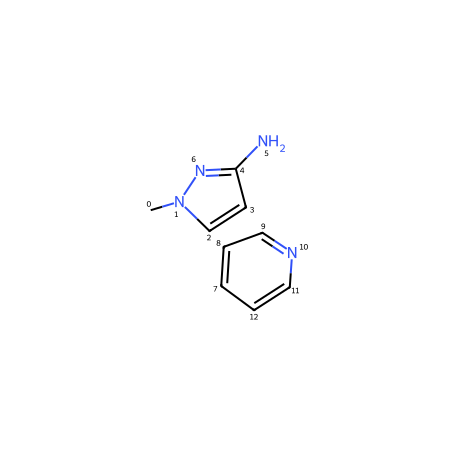 Cn1ccc(N)n1.c1ccncc1